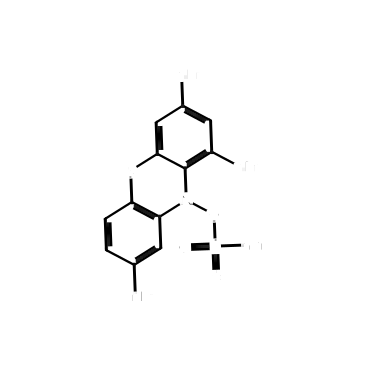 CCCc1cc(CCC)c2c(c1)Sc1ccc(CCC)cc1N2OS(=O)(=O)CCC